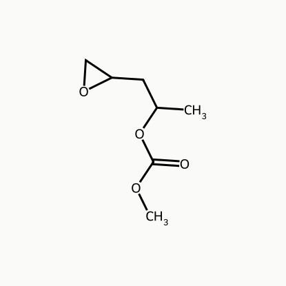 COC(=O)OC(C)CC1CO1